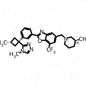 C[C@H]1CCCN(Cc2cc(C(F)(F)F)c3oc(-c4cccc([C@]5(c6nncn6C)C[C@@H](C)C5)c4)nc3c2)C1